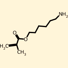 C=C(C)C(=O)OCCCCCCN